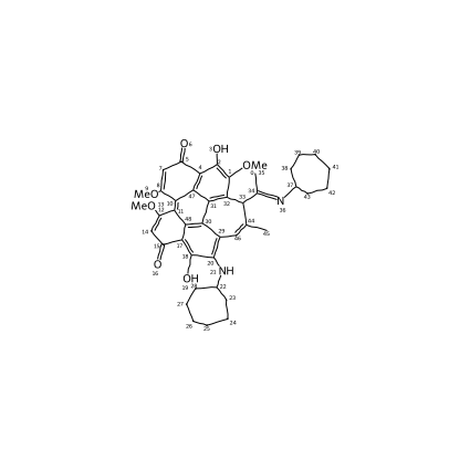 COc1c(O)c2c(=O)cc(OC)c3c4c(OC)cc(=O)c5c(O)c(NC6CCCCCC6)c6c(c(c1C(/C(C)=N/C1CCCCCC1)C(C)=C6)c23)c54